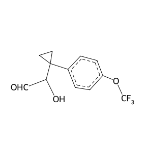 O=CC(O)C1(c2ccc(OC(F)(F)F)cc2)CC1